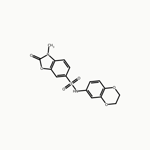 Cn1c(=O)oc2cc(S(=O)(=O)Nc3ccc4c(c3)OCCO4)ccc21